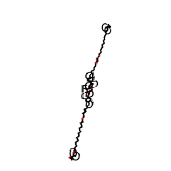 C=C(C)C(=O)OCCCCCCCCCCCCCCCCCCCCOc1ccc(C(=O)Oc2ccc(OC(=O)c3ccc(OCCCCCCCCCCCCCCCCCCCCOC(=O)C(=C)C)cc3)c(F)c2)cc1